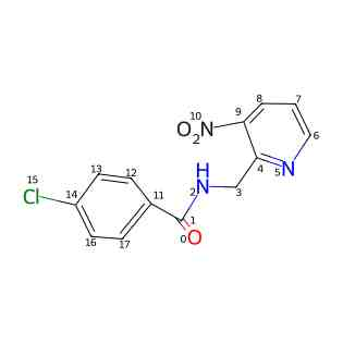 O=C(NCc1ncccc1[N+](=O)[O-])c1ccc(Cl)cc1